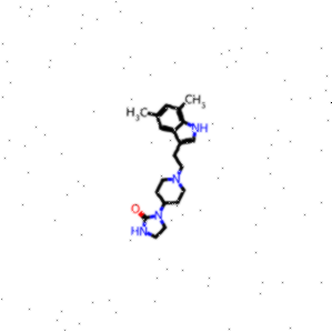 Cc1cc(C)c2[nH]cc(CCN3CCC(N4CCNC4=O)CC3)c2c1